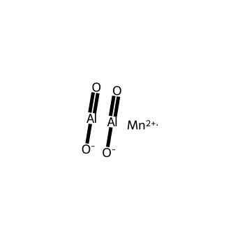 [Mn+2].[O]=[Al][O-].[O]=[Al][O-]